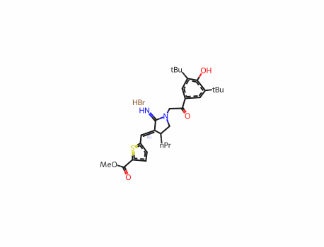 Br.CCCC1CN(CC(=O)c2cc(C(C)(C)C)c(O)c(C(C)(C)C)c2)C(=N)/C1=C/c1ccc(C(=O)OC)s1